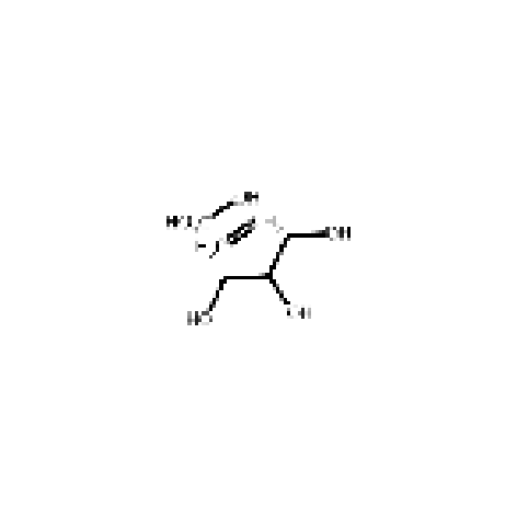 C=C.O=C(O)O.OCC(O)CO